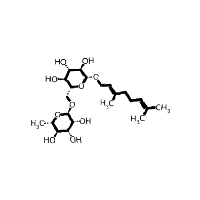 CC(C)=CCC/C(C)=C/CO[C@@H]1O[C@H](CO[C@@H]2O[C@@H](C)[C@H](O)[C@@H](O)[C@H]2O)[C@@H](O)[C@H](O)[C@H]1O